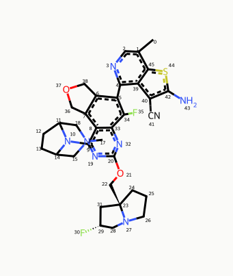 Cc1cnc(-c2c3c(c4c(N5C6CCC5CN(C)C6)nc(OC[C@@]56CCCN5C[C@H](F)C6)nc4c2F)COC3)c2c(C#N)c(N)sc12